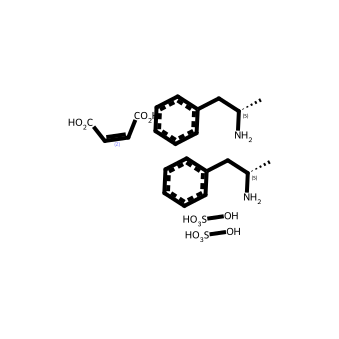 C[C@H](N)Cc1ccccc1.C[C@H](N)Cc1ccccc1.O=C(O)/C=C\C(=O)O.O=S(=O)(O)O.O=S(=O)(O)O